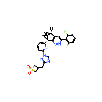 CC1(C)[C@H]2CC[C@]1(c1cccc(-n3cnc(CC4CS(=O)(=O)C4)n3)n1)c1nnc(-c3c(F)cccc3F)cc12